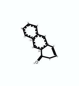 O=C1CC=Cc2cc3ccccc3cc21